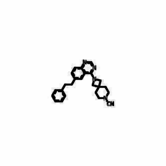 N#CN1CCC2(CC1)CN(c1ncnc3ccc(CCc4ccccc4)cc13)C2